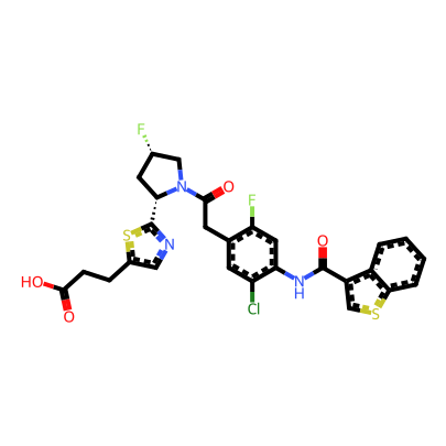 O=C(O)CCc1cnc([C@@H]2C[C@H](F)CN2C(=O)Cc2cc(Cl)c(NC(=O)c3csc4ccccc34)cc2F)s1